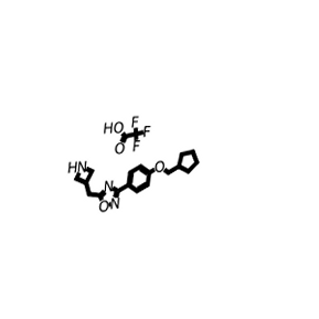 O=C(O)C(F)(F)F.c1cc(-c2noc(CC3CNC3)n2)ccc1OCC1CCCC1